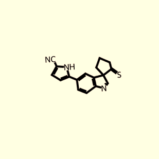 N#Cc1ccc(-c2ccc3c(c2)C2(C=N3)CCCC2=S)[nH]1